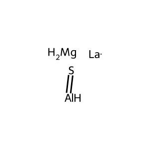 [AlH]=[S].[La].[MgH2]